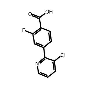 O=C(O)c1ccc(-c2ncccc2Cl)cc1F